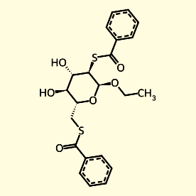 CCO[C@H]1O[C@H](CSC(=O)c2ccccc2)[C@@H](O)[C@H](O)[C@H]1SC(=O)c1ccccc1